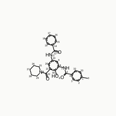 Cc1ccc(C(=O)Nc2cc(NC(=O)c3ccccc3)cc(C(=O)N3CCCCC3)c2O)cc1